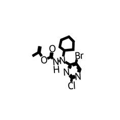 C=C(C)OC(=O)NN(c1nc(Cl)ncc1Br)C1CCCCC1